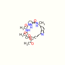 CC(=O)CC[C@@H]1C/C=C/c2cc3cc(ccc3cn2)[C@@H](C)NC(=O)[C@@H]2CCCN(N2)C(=O)[C@H](C)NC(=O)[C@H](C(C)C)OC1=O